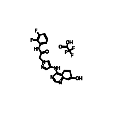 O=C(Cn1cc(Nc2ncnc3cc(O)ccc23)cn1)Nc1cccc(F)c1F.O=C(O)C(F)(F)F